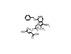 Cc1c(N)c2cnnc(OCc3ccccc3)c2n1CC(C)C.O=C(O)C=CC(=O)O